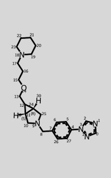 c1ncn(-c2ccc(CN3C[C@@H]4C(COCCCN5CCCCC5)[C@@H]4C3)cc2)n1